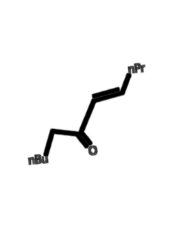 CCCC=CC(=O)CCCCC